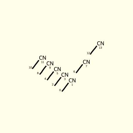 CC#N.CC#N.CC#N.CC#N.CC#N.CC#N.CC#N